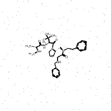 CN[C@@H](C)C(=O)N[C@H](C(=O)N1CCC[C@H]1CN(CCc1ccccc1)C(=O)CNCc1ccccc1)C(C)(C)C